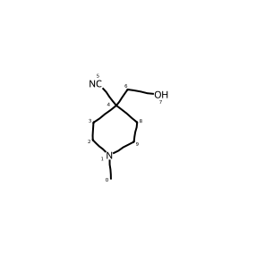 CN1CCC(C#N)(CO)CC1